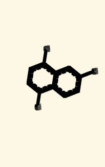 Clc1ccc2c(Cl)ccc(Cl)c2c1